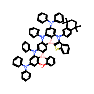 CC1(C)CCC(C)(C)c2cc(N3c4cc(N(c5ccccc5)c5ccccc5)cc5c4B(c4cc6c(cc4N5c4ccccc4)N(c4ccccc4)c4cc(N(c5ccccc5)c5ccccc5)cc5c4B6c4ccccc4O5)c4sc5ccccc5c43)ccc21